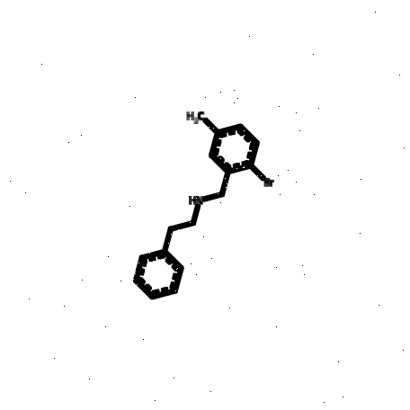 Cc1ccc(Br)c(CNCCc2ccccc2)c1